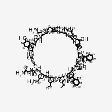 CCCC[C@H]1C(=O)N(C)[C@@H](CCCC)C(=O)N[C@@H](CCCN)C(=O)N[C@H](C(=O)NCC(N)=O)CSCC(=O)N[C@@H](Cc2ccc(O)cc2)C(=O)N(C)[C@@H](C)C(=O)N[C@@H](CCN)C(=O)N2CCC[C@H]2C(=O)N[C@@H](CN)C(=O)N[C@@H](CC(C)C)C(=O)N2C[C@H](O)C[C@H]2C(=O)C[C@@H](Cc2c[nH]c3ccccc23)C(=O)N[C@@H](CO)C(=O)N[C@@H](Cc2c[nH]c3ccccc23)C(=O)N1C